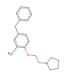 Cc1cc(Cc2ccccc2)ccc1OCCN1CCCC1